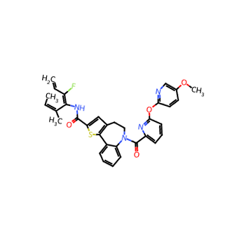 C=C/C(F)=C(NC(=O)c1cc2c(s1)-c1ccccc1N(C(=O)c1cccc(Oc3ccc(OC)cn3)n1)CC2)\C(C)=C/C